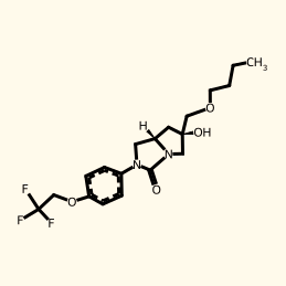 CCCCOC[C@@]1(O)C[C@H]2CN(c3ccc(OCC(F)(F)F)cc3)C(=O)N2C1